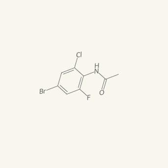 CC(=O)Nc1c(F)cc(Br)cc1Cl